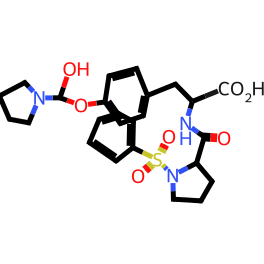 O=C(O)C(Cc1ccc(OC(O)N2CCCC2)cc1)NC(=O)C1CCCN1S(=O)(=O)c1ccccc1